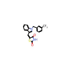 O=C1NC(=O)C(=Cc2cn(Cc3cccc(C(F)(F)F)c3)c3ccccc23)S1